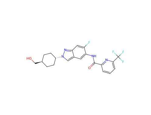 O=C(Nc1cc2cn([C@H]3CC[C@H](CO)CC3)nc2cc1F)c1cccc(C(F)(F)F)n1